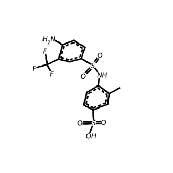 Cc1cc(S(=O)(=O)O)ccc1NS(=O)(=O)c1ccc(N)c(C(F)(F)F)c1